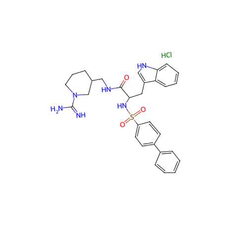 Cl.N=C(N)N1CCCC(CNC(=O)C(Cc2c[nH]c3ccccc23)NS(=O)(=O)c2ccc(-c3ccccc3)cc2)C1